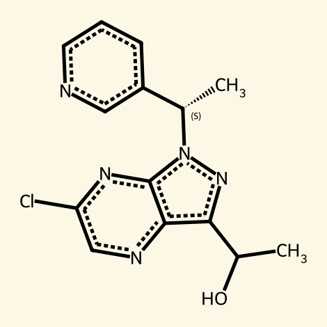 CC(O)c1nn([C@@H](C)c2cccnc2)c2nc(Cl)cnc12